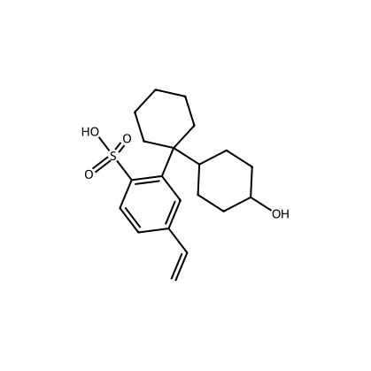 C=Cc1ccc(S(=O)(=O)O)c(C2(C3CCC(O)CC3)CCCCC2)c1